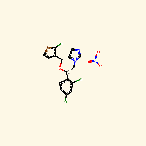 Clc1ccc([C@@H](Cn2ccnc2)OCc2ccsc2Cl)c(Cl)c1.O=[N+]([O-])O